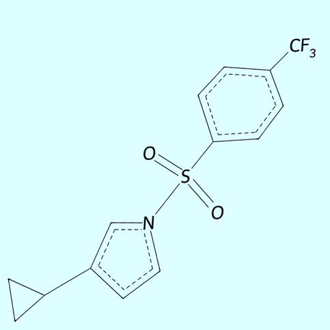 O=S(=O)(c1ccc(C(F)(F)F)cc1)n1ccc(C2CC2)c1